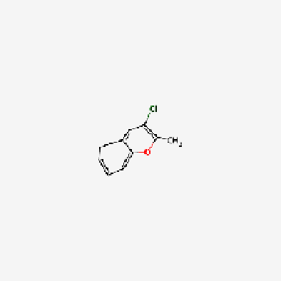 CC1=C(Cl)C=C2CC=CC=C2O1